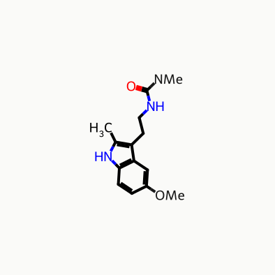 CNC(=O)NCCc1c(C)[nH]c2ccc(OC)cc12